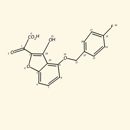 O=C(O)C(=O)c1oc2cccc(OCc3ccc(F)cc3)c2c1O